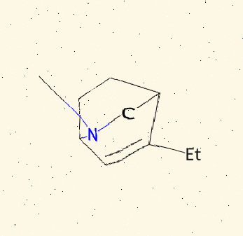 CCC1=CC2CCC1CN2C